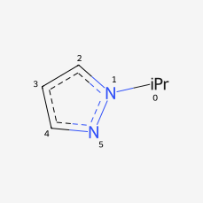 [CH2]C(C)n1cccn1